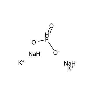 O=[PH]([O-])[O-].[K+].[K+].[NaH].[NaH]